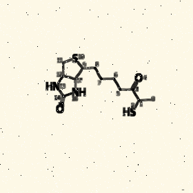 CC(S)C(=O)CCCCC1SCC2NC(=O)NC21